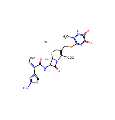 CO/N=C(\C(=O)N[C@@H]1C(=O)N2C(C(=O)[O-])=C(CSc3nc(=O)c(=O)[nH]n3C)CS[C@H]12)c1csc(N)n1.[Na+]